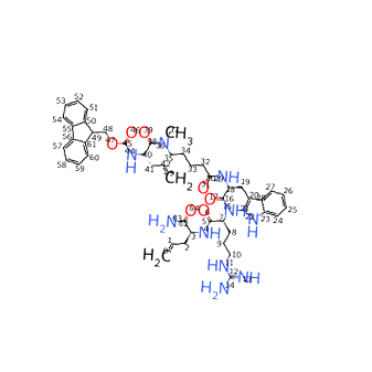 C=CC[C@H](NC(=O)[C@H](CCCNC(=N)N)NC(=O)[C@H](Cc1c[nH]c2ccccc12)NC(=O)CCCCN(C)C(=O)[C@H](CC=C)NC(=O)OCC1c2ccccc2-c2ccccc21)C(N)=O